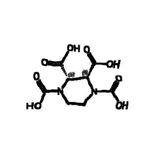 O=C(O)[C@@H]1[C@@H](C(=O)O)N(C(=O)O)CCN1C(=O)O